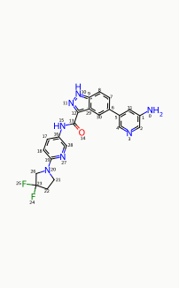 Nc1cncc(-c2ccc3[nH]nc(C(=O)Nc4ccc(N5CCC(F)(F)C5)nc4)c3c2)c1